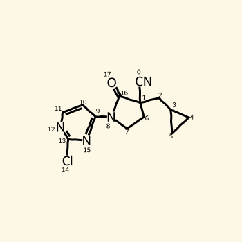 N#CC1(CC2CC2)CCN(c2ccnc(Cl)n2)C1=O